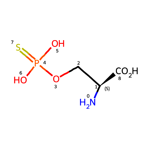 N[C@@H](COP(O)(O)=S)C(=O)O